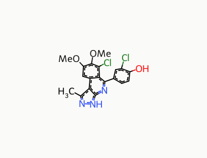 COc1cc2c(c(-c3ccc(O)c(Cl)c3)nc3[nH]nc(C)c32)c(Cl)c1OC